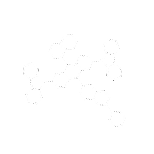 c1ccc(-c2ccc3cc(-c4c5cc(-n6c7ccccc7c7ccccc76)ccc5c(-c5cccc6ccccc56)c5cc(-n6c7ccccc7c7ccccc76)ccc45)ccc3c2)cc1